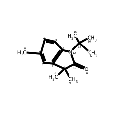 Cc1ccc2c(c1)C(C)(C)C(=O)N2C(C)(C)C